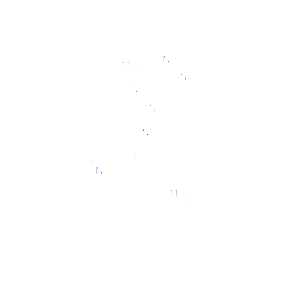 COc1ncnc(C2CC2)c1-c1ncc2cc(-c3cnn(C)c3)c(=O)n(Cc3ccc(-n4nc(C(F)(F)F)cc4C)cc3)c2n1